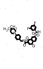 CC1(C)CCN(c2ccc(CNC(=O)C3=CC(=O)c4ccc(S(=O)(=O)Nc5cc(F)cc(F)c5)cc4C3=O)cc2)CC1